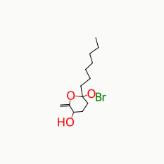 C=C1OC(CCCCCCC)(OBr)CCC1O